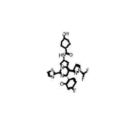 O=C(N[C@H]1CC2=C(c3ccn(C(F)F)n3)[C@H](c3ccc(F)cc3Cl)N=C(c3nccs3)N2C1)C1CCC(O)CC1